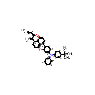 C=C/C=C1/Oc2ccc3c4c(ccc(c24)C1=C)Oc1cc(N(c2ccccc2)c2ccc(C(C)(C)C)cc2)ccc1-3